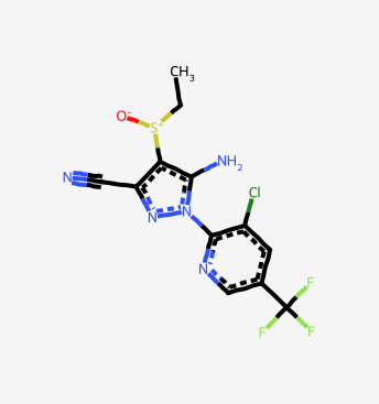 CC[S+]([O-])c1c(C#N)nn(-c2ncc(C(F)(F)F)cc2Cl)c1N